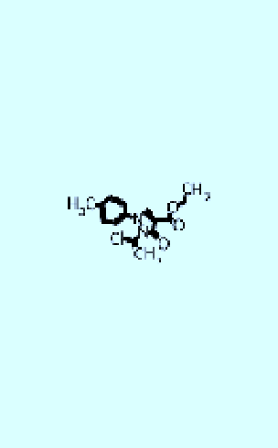 C=C(Cl)n1c(=O)c(C(=O)OCC)cn1-c1ccc(C)cc1